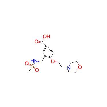 CS(=O)(=O)NCc1cc(C(=O)O)ccc1OCCN1CCOCC1